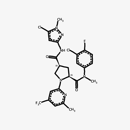 Cc1cc(C(F)(F)F)cc(N2C[C@@H](C(=O)Nc3cc(Cl)n(C)n3)C[C@H]2C(=O)N(C)c2ccc(F)c(Cl)c2)n1